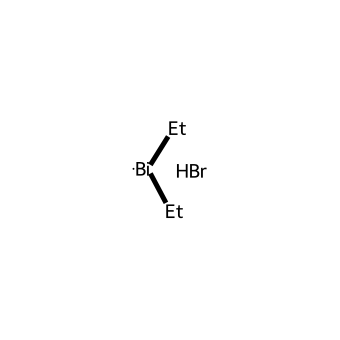 Br.C[CH2][Bi][CH2]C